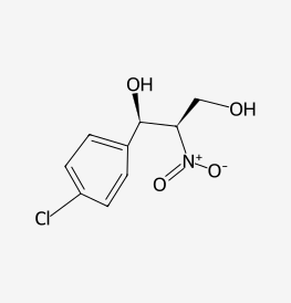 O=[N+]([O-])[C@H](CO)[C@H](O)c1ccc(Cl)cc1